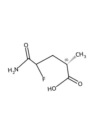 C[C@@H](CC(F)C(N)=O)C(=O)O